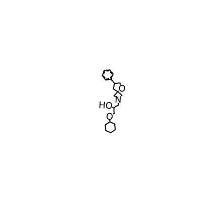 O[C@H](COC1CCCCC1)CN1CC2(CC(c3ccccc3)CO2)C1